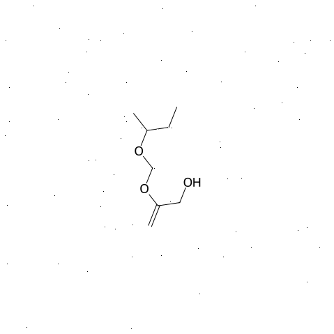 C=C(CO)OCOC(C)CC